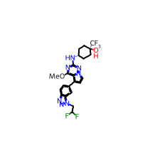 COc1nc(N[C@H]2CC[C@@](O)(C(F)(F)F)CC2)nn2ccc(-c3ccc4nnn(CC(F)F)c4c3)c12